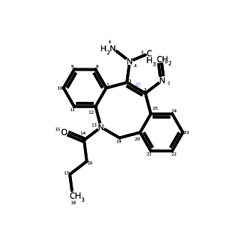 C=N/C1=C(\N(C)N)c2ccccc2N(C(=O)CCC)Cc2ccccc21